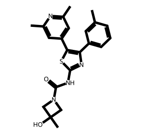 Cc1cccc(-c2nc(NC(=O)N3CC(C)(O)C3)sc2-c2cc(C)nc(C)c2)c1